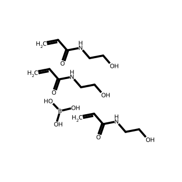 C=CC(=O)NCCO.C=CC(=O)NCCO.C=CC(=O)NCCO.OB(O)O